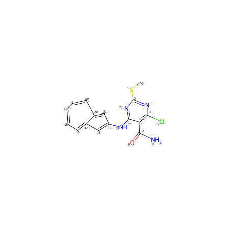 CSc1nc(Cl)c(C(N)=O)c(Nc2cc3cccccc-3c2)n1